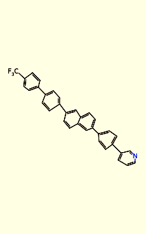 FC(F)(F)c1ccc(-c2ccc(-c3ccc4cc(-c5ccc(-c6cccnc6)cc5)ccc4c3)cc2)cc1